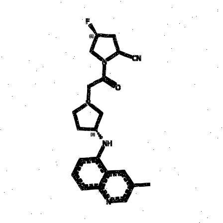 Cc1cnc2cccc(N[C@@H]3CCN(CC(=O)N4C[C@@H](F)CC4C#N)C3)c2c1